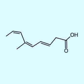 C\C=C/C(C)=C\C=C\CC(=O)O